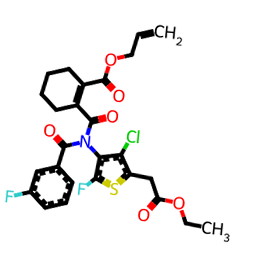 C=CCOC(=O)C1=C(C(=O)N(C(=O)c2cccc(F)c2)c2c(F)sc(CC(=O)OCC)c2Cl)CCCC1